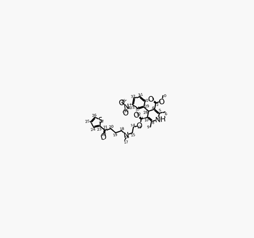 COC(=O)C1=C(C)NC(C)=C(C(=O)OCCN(C)CCCC(=O)c2cccs2)C1c1cccc([N+](=O)[O-])c1